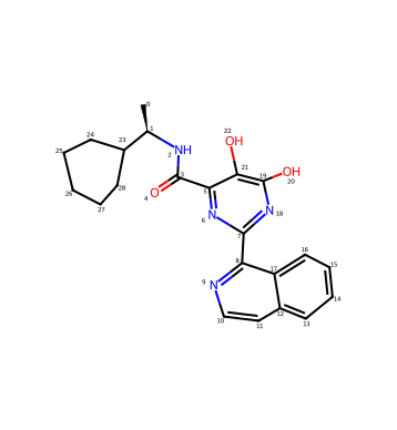 C[C@@H](NC(=O)c1nc(-c2nccc3ccccc23)nc(O)c1O)C1CCCCC1